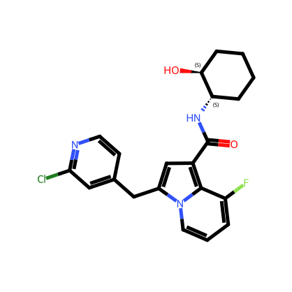 O=C(N[C@H]1CCCC[C@@H]1O)c1cc(Cc2ccnc(Cl)c2)n2cccc(F)c12